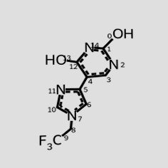 Oc1ncc(-c2cn(CC(F)(F)F)cn2)c(O)n1